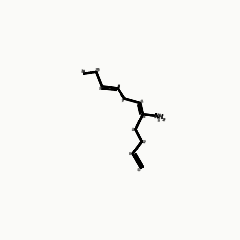 C=CCC/C(N)=C\C/C=C/CC